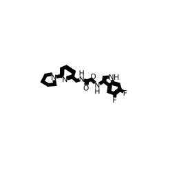 O=C(NCc1cccc(N2CCCCC2)n1)C(=O)Nc1c[nH]c2cc(F)c(F)cc12